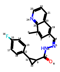 Cc1cc(/C=N\NC(=O)C2CC2c2ccc(F)cc2)cc2cccnc12